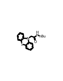 CCCCNC(=O)CN1c2ccccc2Sc2ccccc21